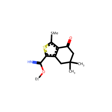 CCOC(=N)c1sc(SC)c2c1CC(C)(C)CC2=O